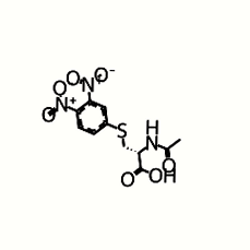 CC(=O)N[C@@H](CSc1ccc([N+](=O)[O-])c([N+](=O)[O-])c1)C(=O)O